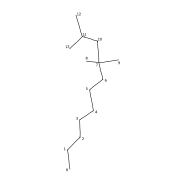 CCCCCCCC(C)(C)C[C](C)C